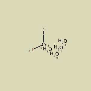 O.O.O.O.[I][Cr][I]